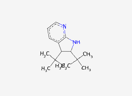 CC(C)(C)C1Nc2ncccc2C1C(C)(C)C